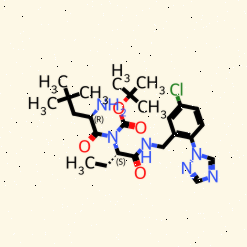 CC[C@@H](C(=O)NCc1cc(Cl)ccc1-n1cncn1)N(C(=O)OC(C)(C)C)C(=O)[C@H](N)CC(C)(C)C